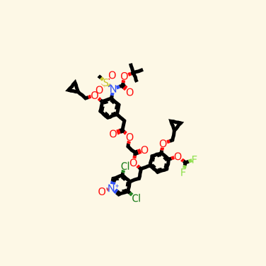 CC(C)(C)OC(=O)N(c1cc(CC(=O)OCC(=O)OC(Cc2c(Cl)c[n+]([O-])cc2Cl)c2ccc(OC(F)F)c(OCC3CC3)c2)ccc1OCC1CC1)S(C)(=O)=O